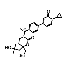 C[C@@H](c1ccc(-c2ccn(C3CC3)c(=O)c2)cc1)N1CCC(CC(C)(C)C)(CC(C)(C)O)OC1=O